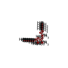 CC(CO)(CCO)NCc1cc2ccccc2c2ccccc12.CC(CO)(CCO)NCc1cc2ccccc2c2ccccc12.CC(CO)(CCO)NCc1cc2ccccc2c2ccccc12.CS(=O)(=O)O.CS(=O)(=O)O.CS(=O)(=O)O.CS(=O)(=O)O.CS(=O)(=O)O.CS(=O)(=O)O.CS(=O)(=O)O.CS(=O)(=O)O.CS(=O)(=O)O.CS(=O)(=O)O